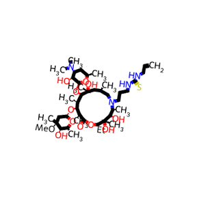 C=CCNC(=S)NCCCN1C[C@H](C)C[C@@](C)(O)[C@H](O[C@@H]2O[C@H](C)C[C@H](N(C)C)[C@H]2O)[C@@H](C)[C@H](O[C@H]2C[C@@](C)(OC)[C@@H](O)[C@H](C)O2)[C@@H](C)C(=O)O[C@H](CC)[C@@](C)(O)[C@H](O)[C@H]1C